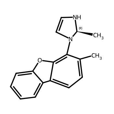 Cc1ccc2c(oc3ccccc32)c1N1C=CN[C@H]1C